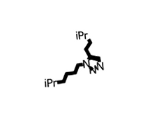 CC(C)CCCCn1nncc1CCC(C)C